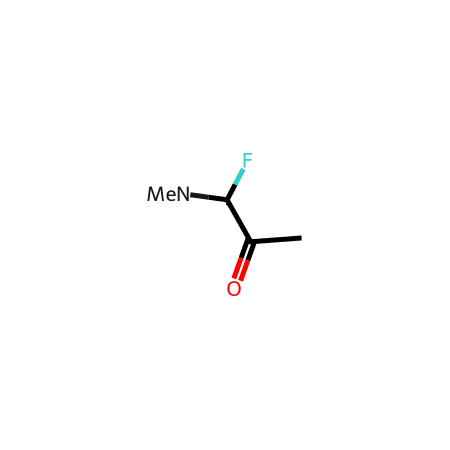 CN[C](F)C(C)=O